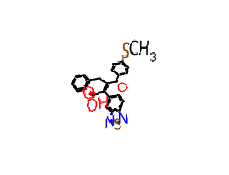 CSc1ccc(C(=O)/C(Cc2ccccc2)=C(/C(=O)O)c2ccc3nsnc3c2)cc1